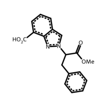 COC(=O)C(Cc1ccccc1)n1cc2cccc(C(=O)O)c2n1